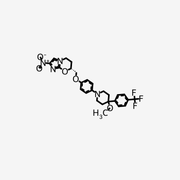 COC1(c2ccc(C(F)(F)F)cc2)CCN(c2ccc(OC[C@H]3CCn4cc([N+](=O)[O-])nc4O3)cc2)CC1